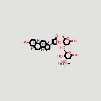 CCOC(C)=O.C[C@H]1OC(O)C[C@H](O)[C@@H]1O.C[C@H]1OC(O)C[C@H](O)[C@@H]1O.C[C@]12CC[C@H](O)C[C@H]1CC[C@@H]1[C@@H]2CC[C@]2(C)[C@@H](C3=CC(=O)OC3)CC[C@@H]12